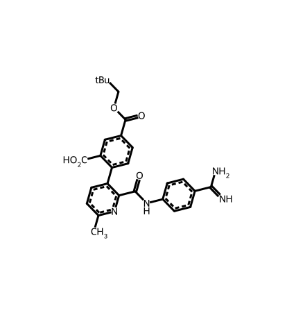 Cc1ccc(-c2ccc(C(=O)OCC(C)(C)C)cc2C(=O)O)c(C(=O)Nc2ccc(C(=N)N)cc2)n1